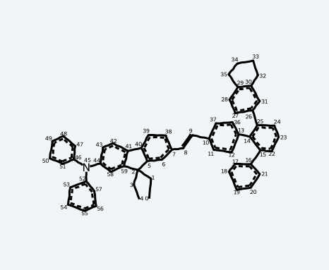 CCC1(CC)c2cc(/C=C/c3ccc(-c4c(-c5ccccc5)cccc4-c4ccc5c(c4)CCCC5)cc3)ccc2-c2ccc(N(c3ccccc3)c3ccccc3)cc21